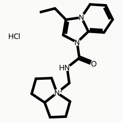 CCC1=CN(C(=O)NC[N+]23CCCC2CCC3)C2=CC=CCN12.Cl